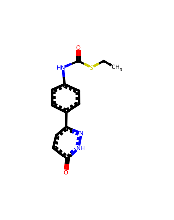 CCSC(=O)Nc1ccc(-c2ccc(=O)[nH]n2)cc1